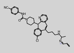 C=C/C=N\C(C)NCCCC1=Cc2cccnc2C(C2CCN(C(=O)Nc3ccc(C#N)cc3)CC2)c2ccc(Cl)cc21